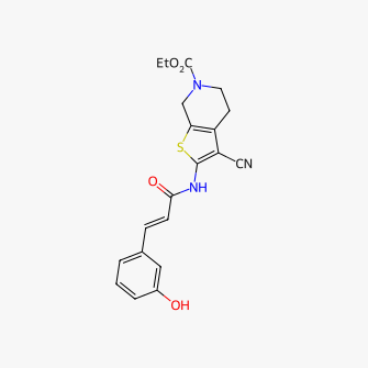 CCOC(=O)N1CCc2c(sc(NC(=O)/C=C/c3cccc(O)c3)c2C#N)C1